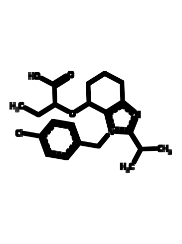 CCC(OC1CCCc2nc(C(C)C)n(Cc3ccc(Cl)cc3)c21)C(=O)O